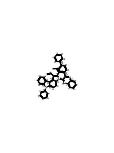 C=Cc1c(/C=C\C)n(-c2nc3ccccc3nc2-c2ccc(-c3ccccc3)cc2)c2ccc3c(c4ccccc4n3-c3ccccc3)c12